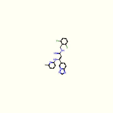 Cc1cccc(N/C(=C\C(=N)NCc2c(F)cccc2F)c2ccc3ncnn3c2)n1